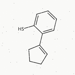 Sc1ccccc1C1=CCCC1